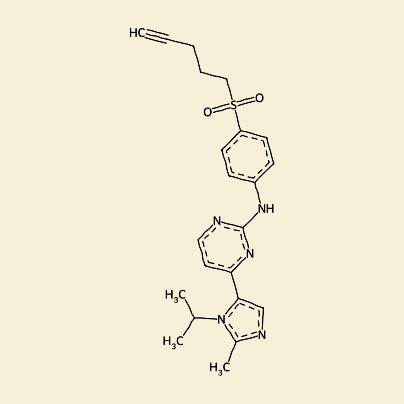 C#CCCCS(=O)(=O)c1ccc(Nc2nccc(-c3cnc(C)n3C(C)C)n2)cc1